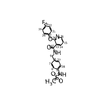 CS(=O)(=O)Nc1ccc(CNC(=O)c2cccnc2Oc2ccc(F)cc2)cc1